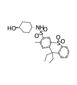 CCC1(CC)c2ccccc2S(=O)(=O)c2cc(S(=O)(=O)N[C@H]3CC[C@H](O)CC3)c(C)cc21